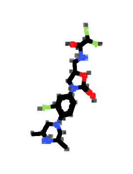 CC1CN(c2ccc(N3CC(CNC(=O)C(F)F)OC3=O)cc2F)CC(C)N1